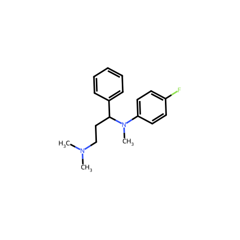 CN(C)CCC(c1ccccc1)N(C)c1ccc(F)cc1